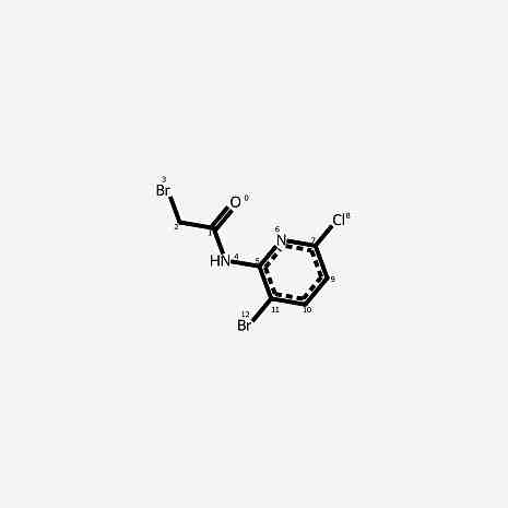 O=C(CBr)Nc1nc(Cl)ccc1Br